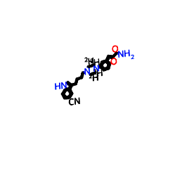 [2H]C1([2H])CN(CCCCc2c[nH]c3ccc(C#N)cc23)CC([2H])([2H])N1c1ccc2oc(C(N)=O)cc2c1